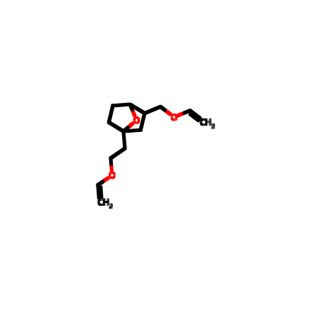 C=COCCC12CCC(O1)C(COC=C)C2